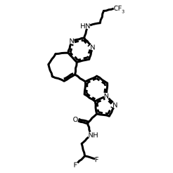 O=C(NCC(F)F)c1cnn2ccc(C3=CCCCc4nc(NCCC(F)(F)F)ncc43)cc12